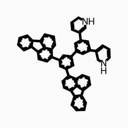 C1=CNCC(c2cc(C3=CNCC=C3)cc(-c3cc(-c4ccc5c6c(cccc46)-c4ccccc4-5)cc(-c4ccc5c6c(cccc46)-c4ccccc4-5)c3)c2)=C1